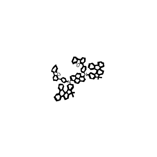 CC1(C)c2ccc(N(c3ccc(-c4cccc5c4oc4ccccc45)cc3)c3ccc4ccc5c(N(c6ccc(-c7cccc8c7oc7ccccc78)cc6)c6ccc7c(c6)-c6c(ccc8c9ccccc9c9ccccc9c68)C7(C)C)ccc6ccc3c4c65)cc2-c2c1ccc1c3ccccc3c3ccccc3c21